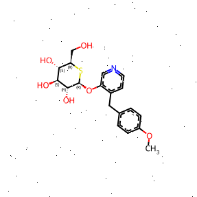 COc1ccc(Cc2ccncc2O[C@@H]2S[C@H](CO)[C@@H](O)[C@H](O)[C@H]2O)cc1